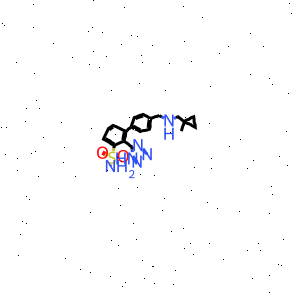 CC1(CNCc2ccc(-c3cccc(S(N)(=O)=O)c3-c3nnn[nH]3)cc2)CC1